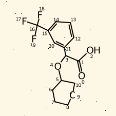 O=C(O)C(OC1CCCCC1)c1cccc(C(F)(F)F)c1